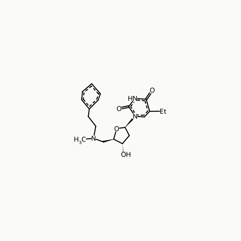 CCc1cn([C@H]2C[C@H](O)[C@@H](CN(C)CCc3ccccc3)O2)c(=O)[nH]c1=O